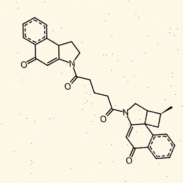 C[C@H]1CC23C(=CC(=O)c4ccccc42)N(C(=O)CCCC(=O)N2CCC4C2=CC(=O)c2ccccc24)CC13